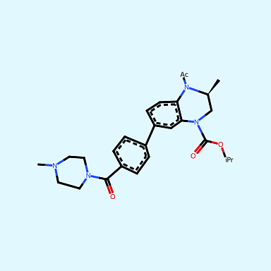 CC(=O)N1c2ccc(-c3ccc(C(=O)N4CCN(C)CC4)cc3)cc2N(C(=O)OC(C)C)C[C@@H]1C